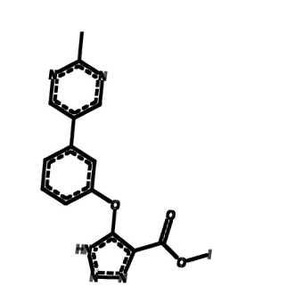 Cc1ncc(-c2cccc(Oc3[nH]nnc3C(=O)OI)c2)cn1